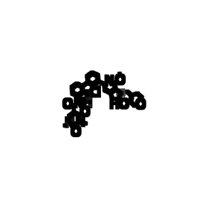 COc1nc(-c2cccc(-c3cccc(NC(=O)c4cn(C)c(=O)n(C)c4=O)c3F)c2Cl)cc2c1[C@H](CC1=C(O)COCC1)CC2